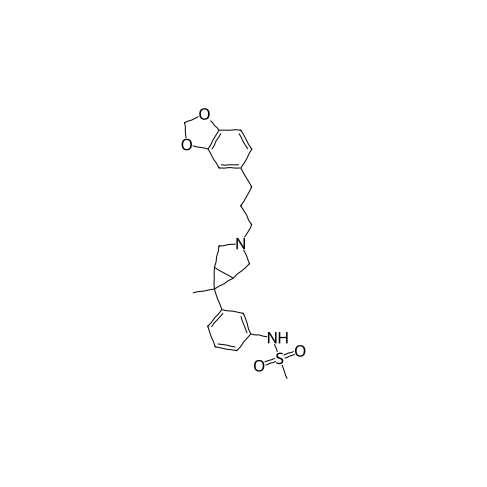 CC1(c2cccc(NS(C)(=O)=O)c2)C2CN(CCCc3ccc4c(c3)OCO4)CC21